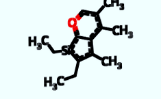 CCc1c(C)c2c(C)c(C)coc-2[si]1CC